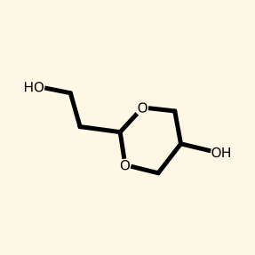 OCCC1OCC(O)CO1